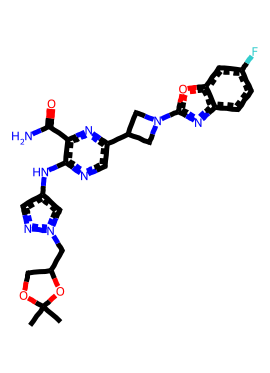 CC1(C)OCC(Cn2cc(Nc3ncc(C4CN(c5nc6ccc(F)cc6o5)C4)nc3C(N)=O)cn2)O1